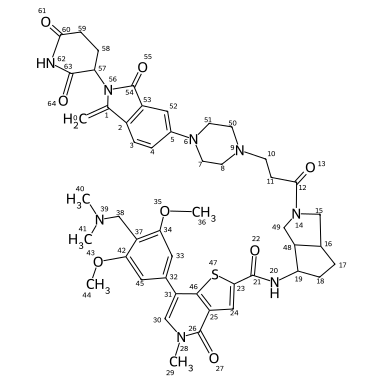 C=C1c2ccc(N3CCN(CCC(=O)N4CC5CCC(NC(=O)c6cc7c(=O)n(C)cc(-c8cc(OC)c(CN(C)C)c(OC)c8)c7s6)C5C4)CC3)cc2C(=O)N1C1CCC(=O)NC1=O